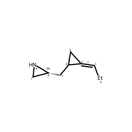 CC/C=C1/CC1C[C@@H]1CN1